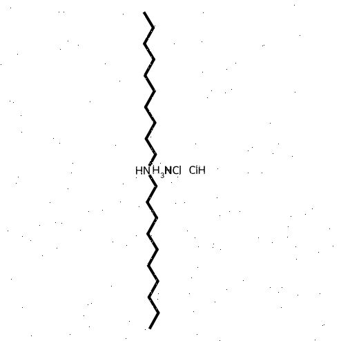 CCCCCCCCCCNCCCCCCCCCC.Cl.Cl.N